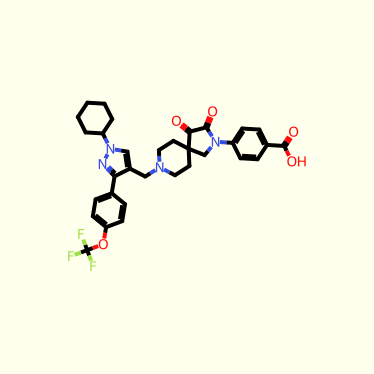 O=C(O)c1ccc(N2CC3(CCN(Cc4cn(C5CCCCC5)nc4-c4ccc(OC(F)(F)F)cc4)CC3)C(=O)C2=O)cc1